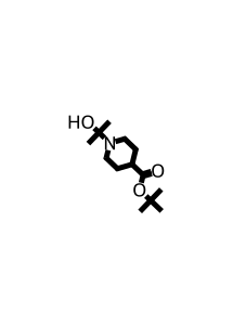 CC(C)(C)OC(=O)C1CCN(C(C)(C)O)CC1